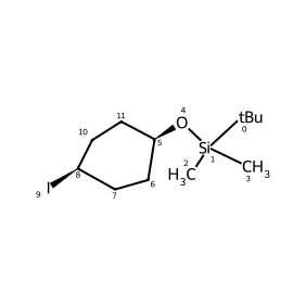 CC(C)(C)[Si](C)(C)O[C@H]1CC[C@@H](I)CC1